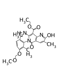 CCOC(=O)c1c(N)n(-c2c(C)ccc(OCOC)c2C)c(=O)c2cc(C)c(O)nc12